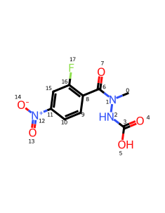 CN(NC(=O)O)C(=O)c1ccc([N+](=O)[O-])cc1F